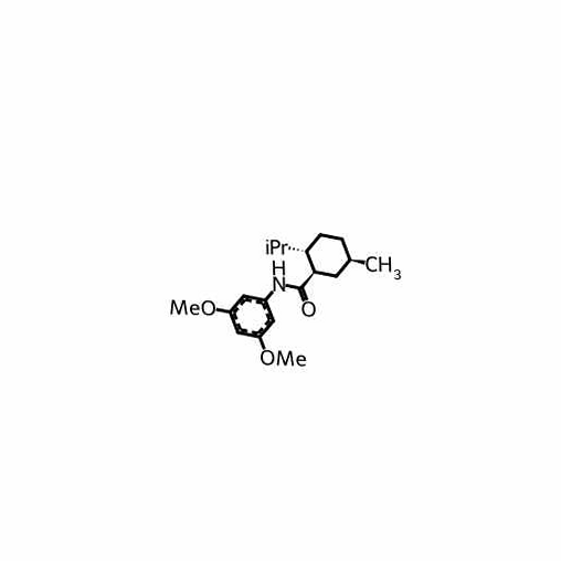 COc1cc(NC(=O)[C@@H]2C[C@H](C)CC[C@H]2C(C)C)cc(OC)c1